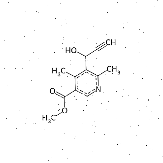 C#CC(O)c1c(C)ncc(C(=O)OC)c1C